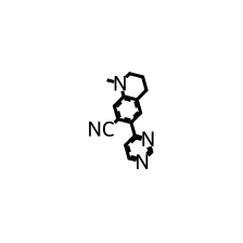 CN1CCCc2cc(-c3ccncn3)c(C#N)cc21